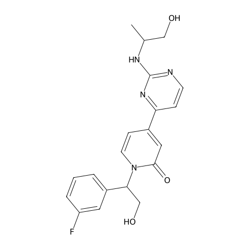 CC(CO)Nc1nccc(-c2ccn(C(CO)c3cccc(F)c3)c(=O)c2)n1